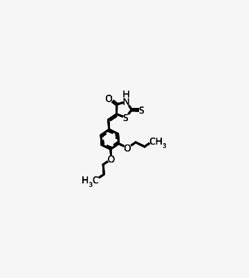 CCCOc1ccc(/C=C2\SC(=S)NC2=O)cc1OCCC